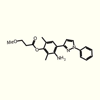 COCCC(=O)Oc1c(C)cc(-c2ccn(-c3ccccc3)n2)c(N)c1C